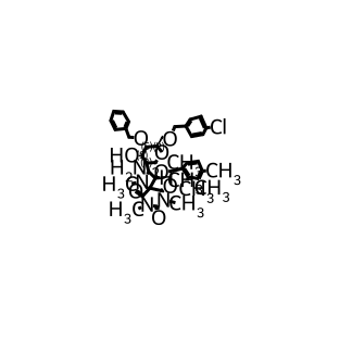 [2H]C1C([C@]2(N)C(OC(C)(C)c3ccc(C)c(C)c3C)O[C@H](COCc3ccc(Cl)cc3)[C@@H](OCc3ccccc3)[C@H]2O)N(C)C12C(=O)N(C)C(=O)N(C)C2=O